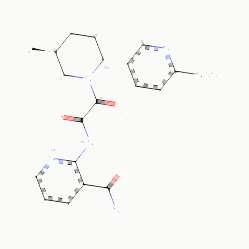 CNc1ccc([C@H]2CC[C@H](C)CN2C(=O)C(=O)Nc2ncccc2C(N)=O)cn1